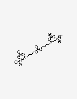 O=C(OCCCC[C@@H](CO[N+](=O)[O-])O[N+](=O)[O-])OCCCC[C@@H](CO[N+](=O)[O-])O[N+](=O)[O-]